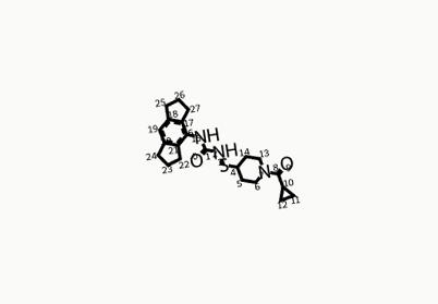 O=C(NSC1CCN(C(=O)C2CC2)CC1)Nc1c2c(cc3c1CCC3)CCC2